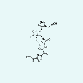 C#CCn1nnnc1SCC1(C(=O)O)CS[C@@H]2C(NC(=O)C(=O)c3csc(NC=O)n3)C(=O)N2C1